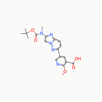 COc1ncc(-c2ccc3nc(N(C)C(=O)OC(C)(C)C)cn3n2)cc1C(=O)O